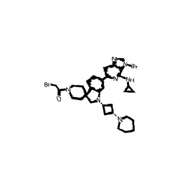 CC(C)n1cnc2cc(-c3ccc4c(c3)N([C@H]3C[C@@H](N5CCCCC5)C3)CC43CCN(C(=O)CBr)CC3)nc(NC3CC3)c21